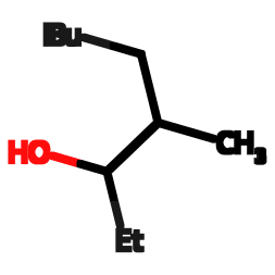 CCC(C)CC(C)C(O)CC